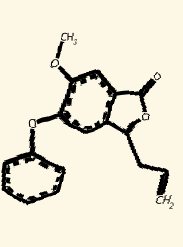 C=CCC1OC(=O)c2cc(OC)c(Oc3ccccc3)cc21